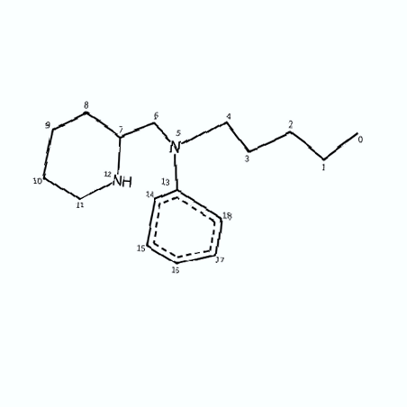 CCCCCN(CC1CCCCN1)c1ccccc1